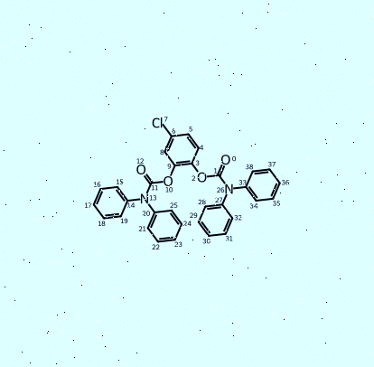 O=C(Oc1ccc(Cl)cc1OC(=O)N(c1ccccc1)c1ccccc1)N(c1ccccc1)c1ccccc1